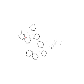 Oc1ccccc1C[P+](c1ccccc1)(c1ccccc1)c1ccccc1.Oc1ccccc1C[P+](c1ccccc1)(c1ccccc1)c1ccccc1.[Br][Mn-]([Br])([Br])[Br].[Br][Mn-]([Br])([Br])[Br]